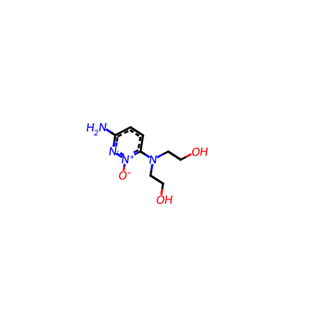 Nc1ccc(N(CCO)CCO)[n+]([O-])n1